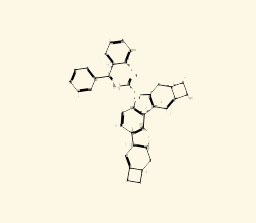 C1=C2CCC2Cc2oc3c(ccc4c3c3c(n4-c4nc(-c5ccccc5)c5ccccc5n4)CC4CCC4=C3)c21